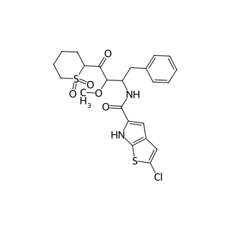 COC(C(=O)C1CCCCS1(=O)=O)C(Cc1ccccc1)NC(=O)c1cc2cc(Cl)sc2[nH]1